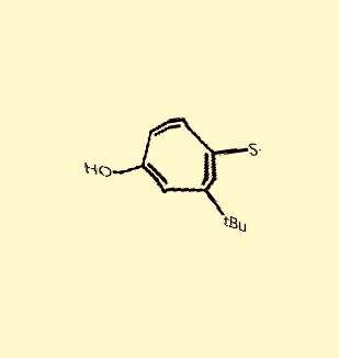 CC(C)(C)c1cc(O)ccc1[S]